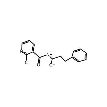 O=C(NC(O)CCc1ccccc1)c1cccnc1Cl